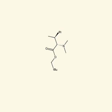 CC(C)[C@H](C)[C@@H](C(=O)OCC(C)(C)C)N(C)C